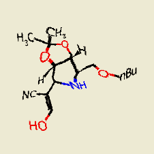 CCCCOC[C@H]1NC(/C(C#N)=C/O)[C@@H]2OC(C)(C)O[C@H]12